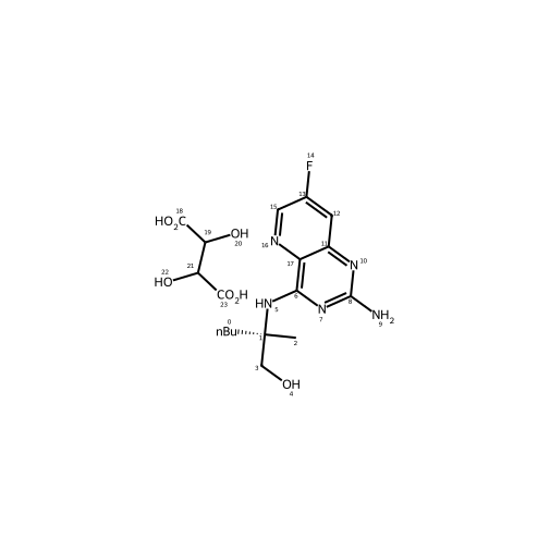 CCCC[C@](C)(CO)Nc1nc(N)nc2cc(F)cnc12.O=C(O)C(O)C(O)C(=O)O